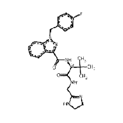 CC(C)(C)[C@H](NC(=O)c1nn(Cc2ccc(F)cc2)c2ccccc12)C(=O)NCC1=NCCN1